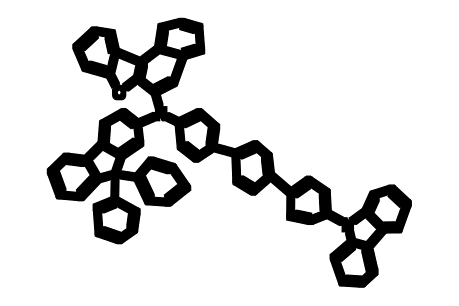 c1ccc(C2(c3ccccc3)c3ccccc3-c3ccc(N(c4ccc(-c5ccc(-c6ccc(-n7c8ccccc8c8ccccc87)cc6)cc5)cc4)c4cc5ccccc5c5c4oc4ccccc45)cc32)cc1